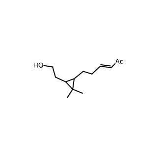 CC(=O)C=CCCC1C(CCO)C1(C)C